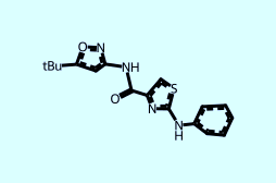 CC(C)(C)c1cc(NC(=O)c2csc(Nc3ccccc3)n2)no1